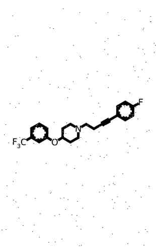 Fc1ccc(C#CCCN2CCC(Oc3cccc(C(F)(F)F)c3)CC2)cc1